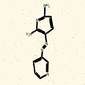 Nc1ccc(N=Nc2cccnc2)c(N)n1